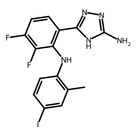 Cc1cc(I)ccc1Nc1c(-c2nnc(N)[nH]2)ccc(F)c1F